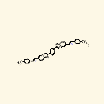 Cc1ccc(/C=C/c2ccc3nc(-c4ccc(-c5cn6cc(/C=C/c7ccc(C)cc7)ccc6n5)cc4)cn3c2)cc1